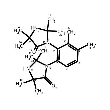 [CH2]c1ccc(N2C(=O)C(C)(C)NC2(C)C)c(N2C(=O)C(C)(C)NC2(C)C)c1[CH2]